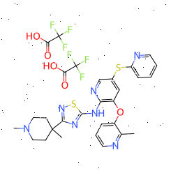 Cc1ncccc1Oc1cc(Sc2ccccn2)cnc1Nc1nc(C2(C)CCN(C)CC2)ns1.O=C(O)C(F)(F)F.O=C(O)C(F)(F)F